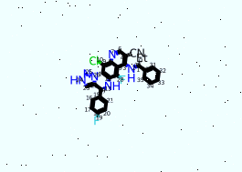 CC[C@@H](Nc1c(C#N)cnc2c(Cl)cc(N[C@@H](c3ccc(F)cc3)c3c[nH]nn3)c(F)c12)c1ccccc1